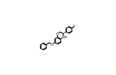 Fc1ccc([C@@H]2COc3cc(OCc4ccccc4)ccc3N2)cc1